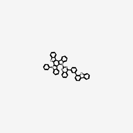 c1ccc(-n2c3ccccc3c3c2c2oc4ccccc4c2c2c4ccccc4n(-c4nc(-c5cccc(-c6cccc7c6oc6ccccc67)c5)c5ccccc5n4)c23)cc1